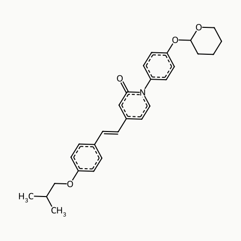 CC(C)COc1ccc(C=Cc2ccn(-c3ccc(OC4CCCCO4)cc3)c(=O)c2)cc1